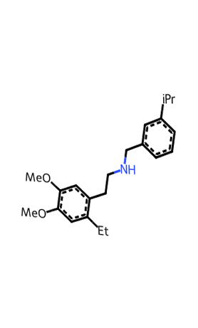 CCc1cc(OC)c(OC)cc1CCNCc1cccc(C(C)C)c1